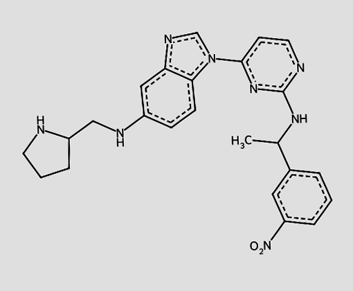 CC(Nc1nccc(-n2cnc3cc(NCC4CCCN4)ccc32)n1)c1cccc([N+](=O)[O-])c1